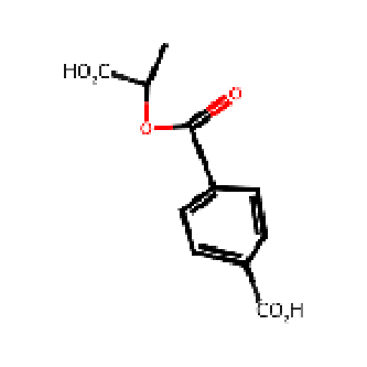 CC(OC(=O)c1ccc(C(=O)O)cc1)C(=O)O